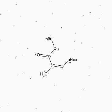 CCCCCCC=C(C)C(=O)OCCCC